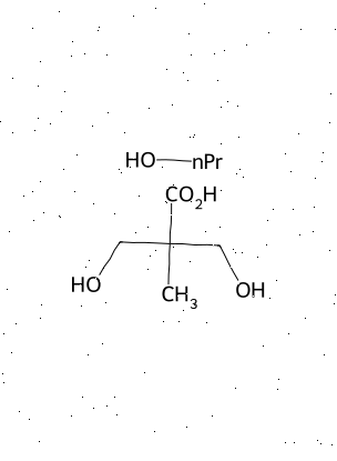 CC(CO)(CO)C(=O)O.CCCO